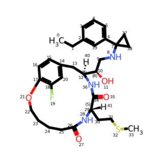 CCc1cccc(C2(NC[C@@H](O)[C@@H]3Cc4ccc(c(F)c4)OCCCCC(=O)N[C@@H](CCSC)C(=O)N3)CC2)c1